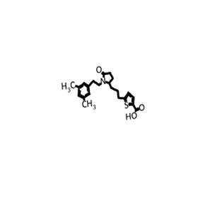 Cc1cc(C)cc(CCN2C(=O)CCC2CCCc2ccc(C(=O)O)s2)c1